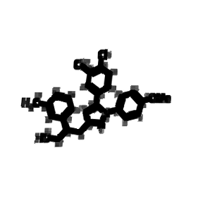 COc1ccc(-n2nc(CC(CO)c3cccc(C)c3)cc2-c2ccc(Cl)c(Cl)c2)cc1